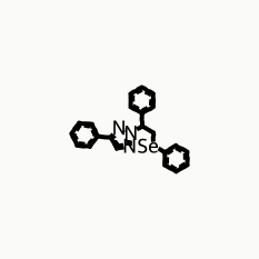 c1ccc([Se]CC(c2ccccc2)n2ncc(-c3ccccc3)n2)cc1